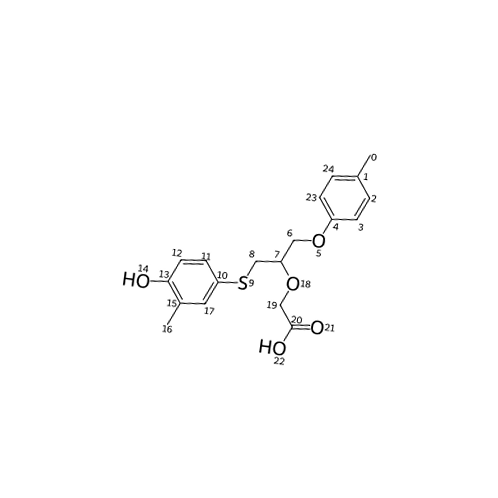 Cc1ccc(OCC(CSc2ccc(O)c(C)c2)OCC(=O)O)cc1